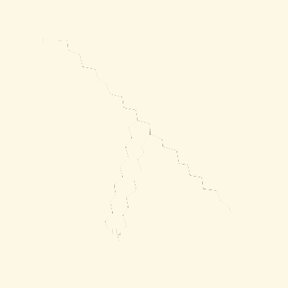 CCCCCCCCCCCCC([CH]C(CCCCCCCCCCCC)CCCCCCCCCCCC)CCCCCCCCCCCC